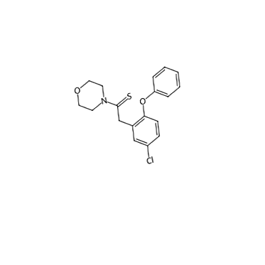 S=C(Cc1cc(Cl)ccc1Oc1ccccc1)N1CCOCC1